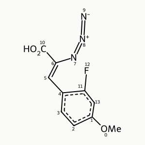 COc1ccc(C=C(N=[N+]=[N-])C(=O)O)c(F)c1